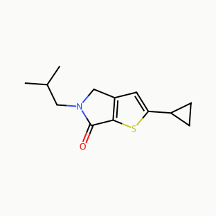 CC(C)CN1Cc2cc(C3CC3)sc2C1=O